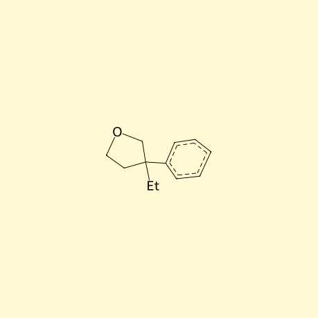 CCC1(c2ccccc2)CCOC1